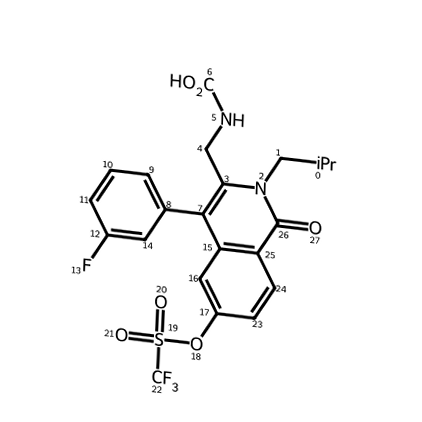 CC(C)Cn1c(CNC(=O)O)c(-c2cccc(F)c2)c2cc(OS(=O)(=O)C(F)(F)F)ccc2c1=O